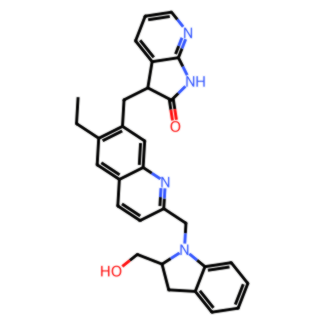 CCc1cc2ccc(CN3c4ccccc4CC3CO)nc2cc1CC1C(=O)Nc2ncccc21